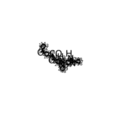 O=C(N[C@@H](Cc1ccc(C(=O)c2ccccc2)cc1)C(=O)O)c1ccc2c(c1)nc(-c1ccc3nc(-c4ccccc4)cnc3c1)n2C1CCCCC1